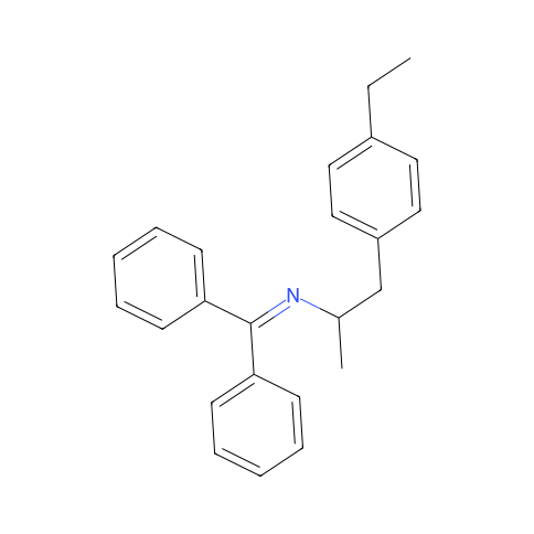 CCc1ccc(CC(C)N=C(c2ccccc2)c2ccccc2)cc1